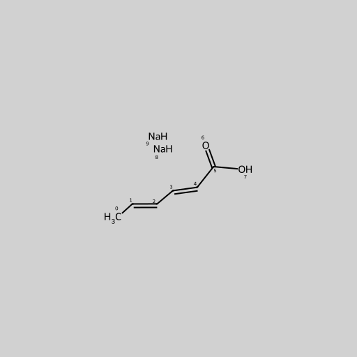 CC=CC=CC(=O)O.[NaH].[NaH]